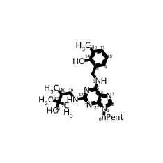 CCCCCn1cnc2c(NCc3cccc(C)c3O)nc(NCC(C)C(C)(C)O)nc21